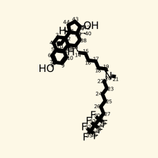 C=CC12CCc3cc(O)ccc3[C@H]1[C@@H](CCCCCCN(C)CCCCCCC(F)(F)C(F)(F)C(F)(F)F)C[C@]1(C)[C@@H](O)CC[C@@H]21